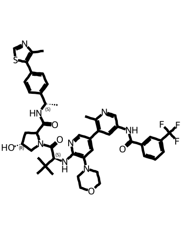 Cc1ncc(NC(=O)c2cccc(C(F)(F)F)c2)cc1-c1cnc(N[C@H](C(=O)N2C[C@H](O)CC2C(=O)N[C@@H](C)c2ccc(-c3scnc3C)cc2)C(C)(C)C)c(N2CCOCC2)c1